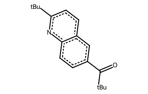 CC(C)(C)C(=O)c1ccc2nc(C(C)(C)C)ccc2c1